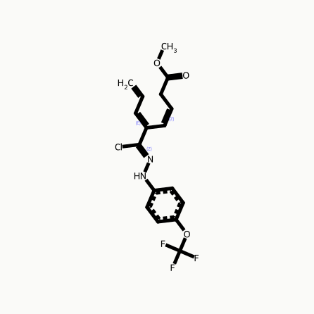 C=C/C=C(\C=C/CC(=O)OC)C(/Cl)=N/Nc1ccc(OC(F)(F)F)cc1